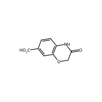 O=C1COc2cc(C(=O)O)ccc2N1